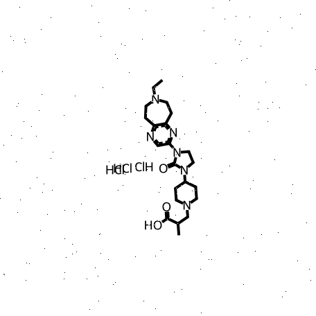 CCN1CCc2ncc(N3CCN(C4CCN(CC(C)C(=O)O)CC4)C3=O)nc2CC1.Cl.Cl.Cl